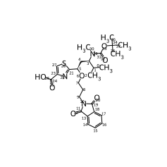 CC(C)[C@@H](C[C@@H](OCCCN1C(=O)c2ccccc2C1=O)c1nc(C(=O)O)cs1)N(C)C(=O)OC(C)(C)C